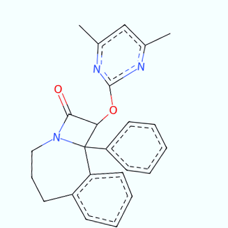 Cc1cc(C)nc(OC2C(=O)N3CCCc4ccccc4C23c2ccccc2)n1